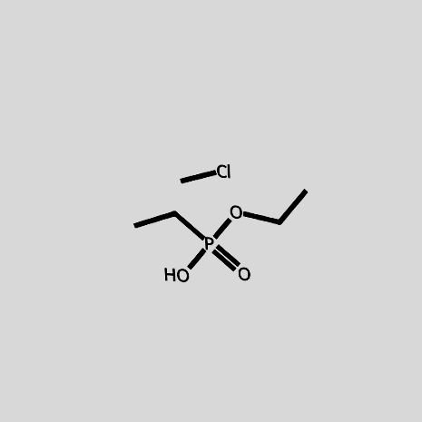 CCOP(=O)(O)CC.CCl